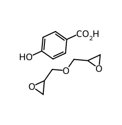 C(OCC1CO1)C1CO1.O=C(O)c1ccc(O)cc1